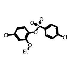 CCOc1cc(Cl)ccc1OS(=O)(=O)c1ccc(Cl)cc1